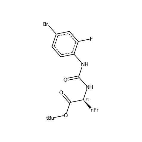 CCC[C@H](NC(=O)Nc1ccc(Br)cc1F)C(=O)OC(C)(C)C